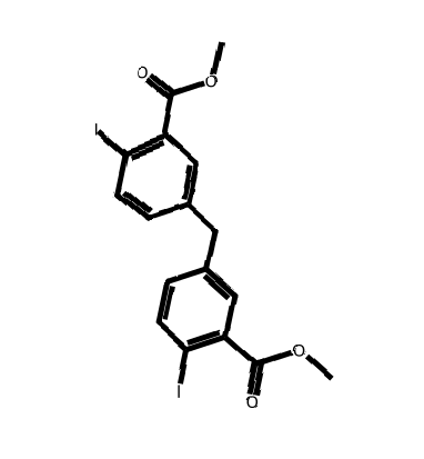 COC(=O)c1cc(Cc2ccc(I)c(C(=O)OC)c2)ccc1I